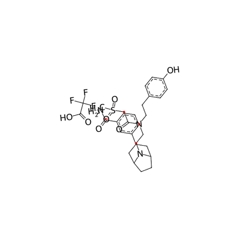 CS(=O)(=O)CC(=O)N(CCc1ccc(O)cc1)CCN1C2CCC1CC(c1cccc(C(N)=O)c1)C2.O=C(O)C(F)(F)F